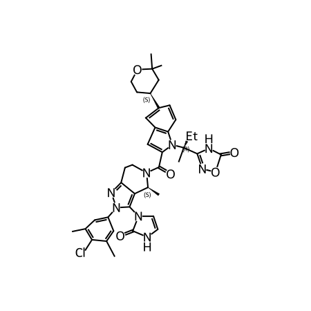 CC[C@](C)(c1noc(=O)[nH]1)n1c(C(=O)N2CCc3nn(-c4cc(C)c(Cl)c(C)c4)c(-n4cc[nH]c4=O)c3[C@@H]2C)cc2cc([C@H]3CCOC(C)(C)C3)ccc21